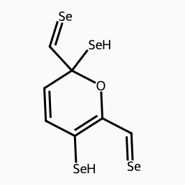 [Se]=CC1=C([SeH])C=CC([SeH])(C=[Se])O1